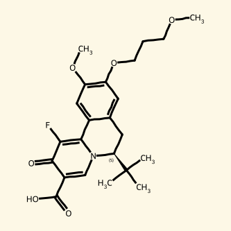 COCCCOc1cc2c(cc1OC)-c1c(F)c(=O)c(C(=O)O)cn1[C@H](C(C)(C)C)C2